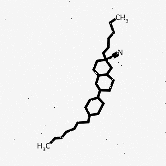 CCCCCCCC1CCC(C2CCC3CC(C#N)(CCCCCC)CCC3C2)CC1